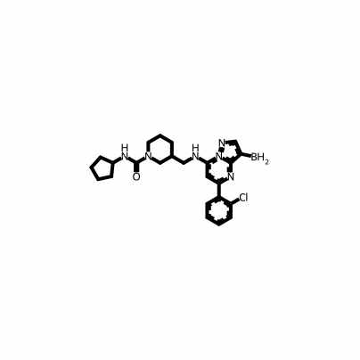 Bc1cnn2c(NCC3CCCN(C(=O)NC4CCCC4)C3)cc(-c3ccccc3Cl)nc12